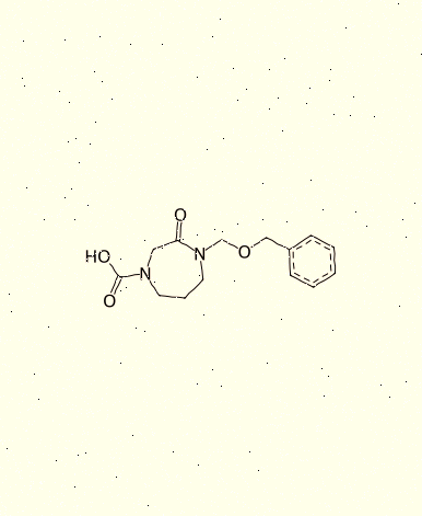 O=C(O)N1CCCN(COCc2ccccc2)C(=O)C1